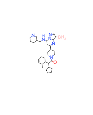 BC1C=NN2C(NCC3C=NCCC3)CC(C3CCN(C(=O)C(C4CCCC4)C4CCC=CC4C)CC3)=NC12